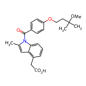 COC(C)(C)CCOc1ccc(C(=O)n2c(C)cc3c(CC(=O)O)cccc32)cc1